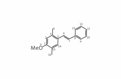 COc1cc(C)c(C=Cc2ccccc2)cc1C